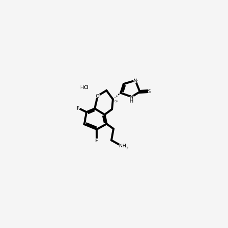 Cl.NCCc1c(F)cc(F)c2c1C[C@@H](C1=C[N]C(=S)N1)CO2